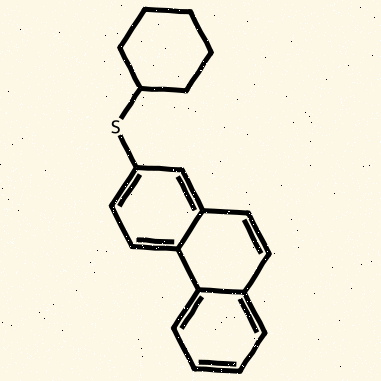 c1ccc2c(c1)ccc1cc(SC3CCCCC3)ccc12